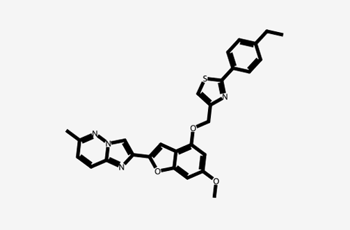 CCc1ccc(-c2nc(COc3cc(OC)cc4oc(-c5cn6nc(C)ccc6n5)cc34)cs2)cc1